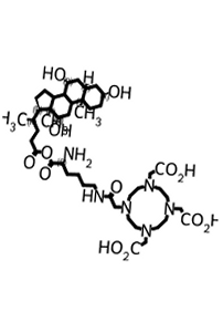 C[C@H](CCC(=O)OC(=O)[C@@H](N)CCCCNC(=O)CN1CCN(CC(=O)O)CCN(CC(=O)O)CCN(CC(=O)O)CC1)[C@H]1CCC2C3C(C[C@H](O)[C@@]21C)[C@@]1(C)CC[C@@H](O)C[C@H]1C[C@H]3O